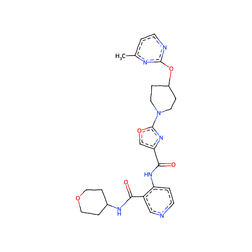 Cc1ccnc(OC2CCN(c3nc(C(=O)Nc4ccncc4C(=O)NC4CCOCC4)co3)CC2)n1